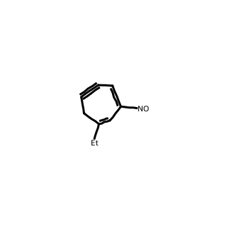 CCC1=CC(N=O)=CC#CC1